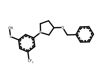 N#CSc1cc(N2CCC(OCc3ccccc3)C2)cc(C(F)(F)F)c1